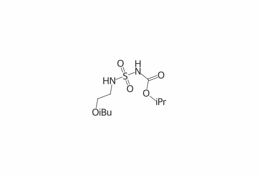 CC(C)COCCNS(=O)(=O)NC(=O)OC(C)C